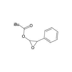 CCC(C)C(=O)OC1OC1c1ccccc1